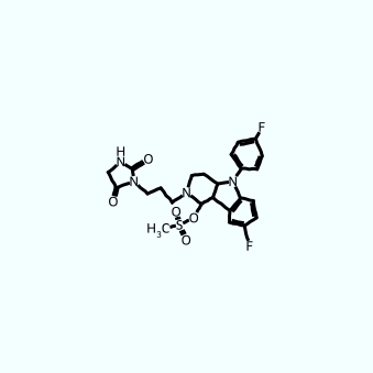 CS(=O)(=O)OC1C2c3cc(F)ccc3N(c3ccc(F)cc3)C2CCN1CCCN1C(=O)CNC1=O